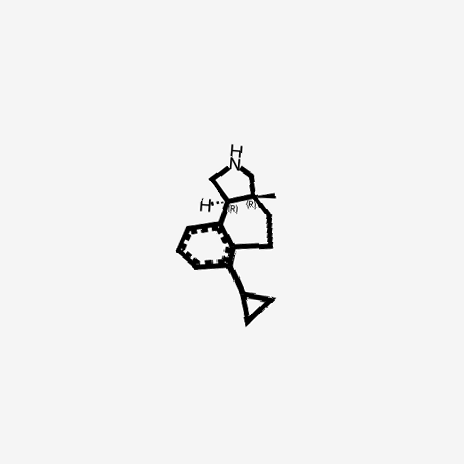 C[C@@]12CCc3c(C4CC4)cccc3[C@H]1CNC2